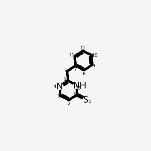 S=c1ccnc(Cc2ccccc2)[nH]1